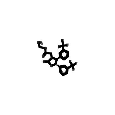 CCOC(=O)CN1C(=O)O[C@@H](c2cccc(C(F)(F)F)c2)[C@H]1c1cccc(C(F)(F)F)c1